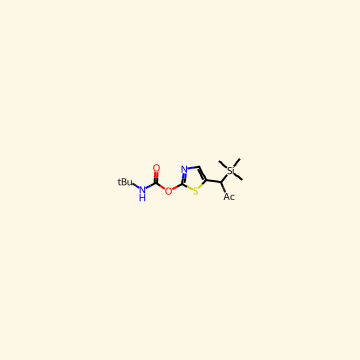 CC(=O)C(c1cnc(OC(=O)NC(C)(C)C)s1)[Si](C)(C)C